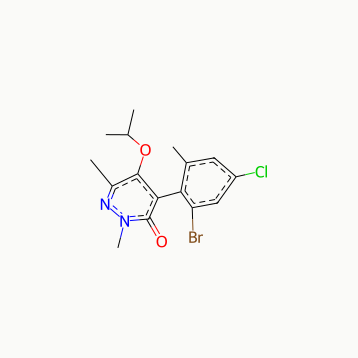 Cc1cc(Cl)cc(Br)c1-c1c(OC(C)C)c(C)nn(C)c1=O